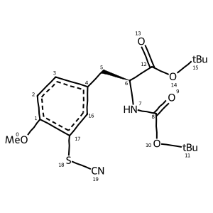 COc1ccc(C[C@H](NC(=O)OC(C)(C)C)C(=O)OC(C)(C)C)cc1SC#N